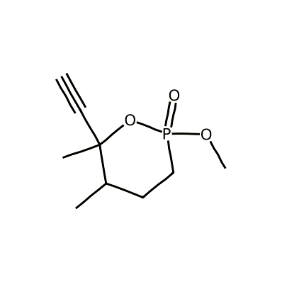 C#CC1(C)OP(=O)(OC)CCC1C